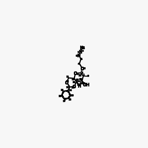 CC1[C@@H](OCCN=[N+]=[N-])OC2COC(c3ccccc3)O[C@H]2[C@@H]1O